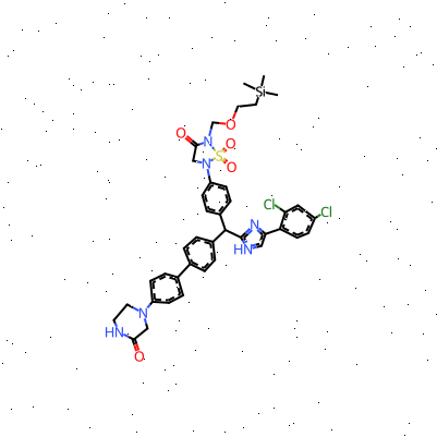 C[Si](C)(C)CCOCN1C(=O)CN(c2ccc(C(c3ccc(-c4ccc(N5CCNC(=O)C5)cc4)cc3)c3nc(-c4ccc(Cl)cc4Cl)c[nH]3)cc2)S1(=O)=O